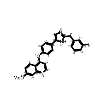 COc1ccc2c(Oc3ccc(-c4cnc(Cc5cccc(C)c5)[nH]4)cc3)ccnc2c1